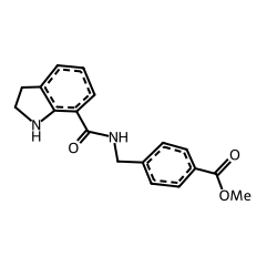 COC(=O)c1ccc(CNC(=O)c2cccc3c2NCC3)cc1